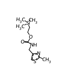 Cc1nc(CNC(=O)OCC[Si](C)(C)C)cs1